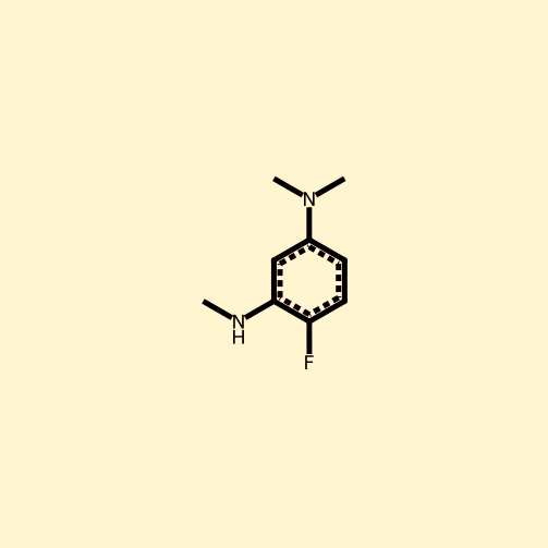 CNc1cc(N(C)C)ccc1F